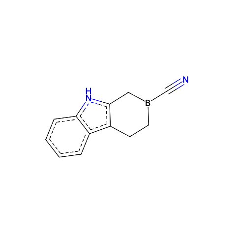 N#CB1CCc2c([nH]c3ccccc23)C1